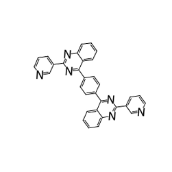 c1cncc(-c2nc(-c3ccc(-c4nc(-c5cccnc5)nc5ccccc45)cc3)c3ccccc3n2)c1